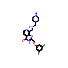 O=c1[nH]c(COc2cc(F)cc(F)c2)nc2c(CNCC3CCNCC3)nccc12